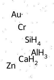 [AlH3].[Au].[CaH2].[Cr].[SiH4].[Zn]